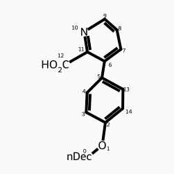 CCCCCCCCCCOc1ccc(-c2cccnc2C(=O)O)cc1